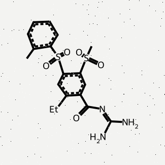 CCc1cc(S(=O)(=O)c2ccccc2C)c(S(C)(=O)=O)cc1C(=O)N=C(N)N